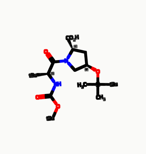 CC(C)(C)OC(=O)N[C@H](C(=O)N1C[C@H](O[Si](C)(C)C(C)(C)C)C[C@H]1C(=O)O)C(C)(C)C